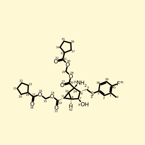 Cc1cc(SC[C@@H]2[C@@H](O)[C@@H]3C([C@H]3C(=O)OCOC(=O)C3CCCC3)[C@]2(N)C(=O)OCOC(=O)C2CCCC2)ccc1F